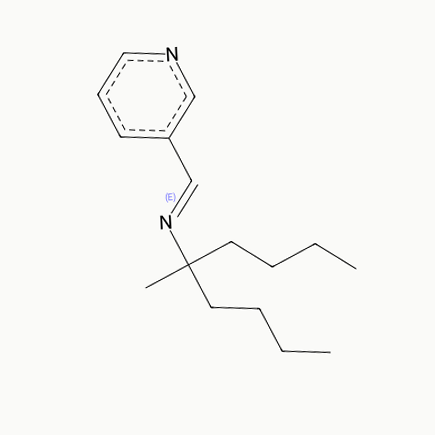 CCCCC(C)(CCCC)/N=C/c1cccnc1